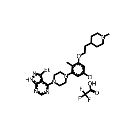 CCc1n[nH]c2ncnc(N3CCN(c4cc(Cl)cc(OCCC5CCN(C)CC5)c4C)CC3)c12.O=C(O)C(F)(F)F